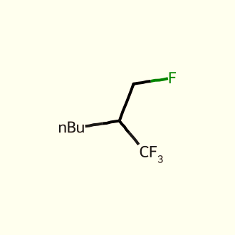 CCCCC(CF)C(F)(F)F